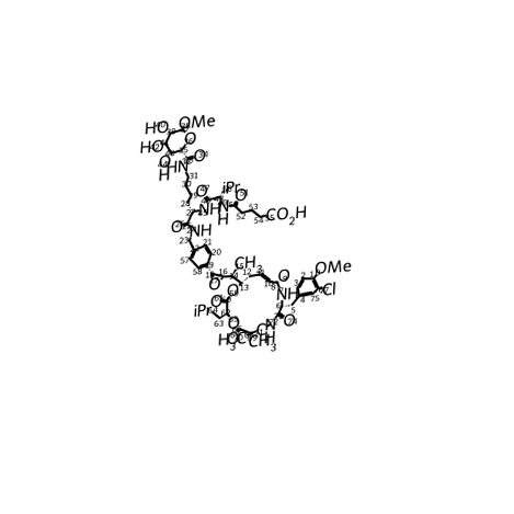 COc1ccc(C[C@H]2NC(=O)/C=C/C[C@@H]([C@H](C)[C@H]3O[C@@H]3c3ccc(CNC(=O)[C@H](CCCCNC(=O)[C@H]4O[C@@H](OC)[C@H](O)C(O)[C@@H]4O)NC(=O)[C@@H](NC(=O)CCCC(=O)O)C(C)C)cc3)OC(=O)[C@H](CC(C)C)OC(=O)C(C)(C)CNC2=O)cc1Cl